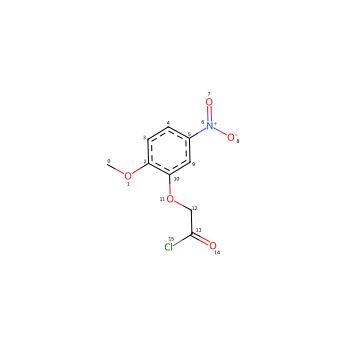 COc1ccc([N+](=O)[O-])cc1OCC(=O)Cl